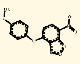 COc1ccc(Oc2ccc([N+](=O)[O-])c3nonc23)cc1